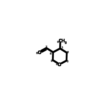 CC1CCOCC1C=O